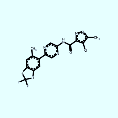 Cc1cc2c(cc1-c1cnc(NC(=O)c3nsc(C)c3Cl)cn1)OC(F)(F)O2